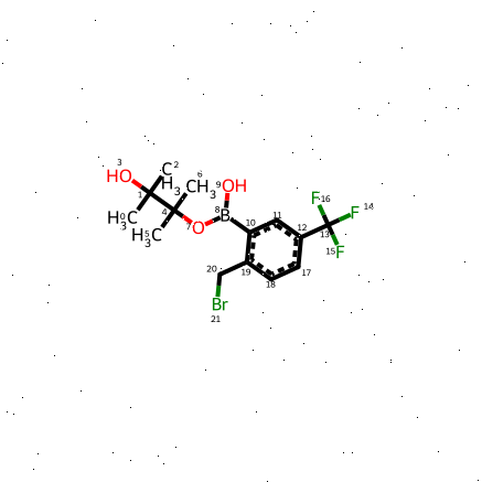 CC(C)(O)C(C)(C)OB(O)c1cc(C(F)(F)F)ccc1CBr